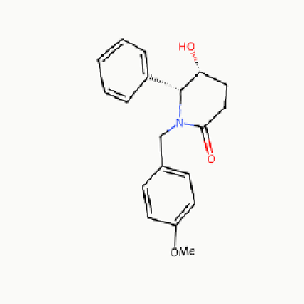 COc1ccc(CN2C(=O)CC[C@@H](O)[C@H]2c2ccccc2)cc1